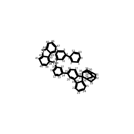 c1ccc(-c2cccc(N(c3cccc(-c4ccc5c(c4)-c4ccccc4C54C5CC6CC(C5)CC4C6)c3)c3cccc4sc5ccccc5c34)c2)cc1